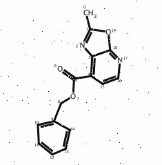 Cc1nc2c(C(=O)OCc3ccccc3)ccnc2o1